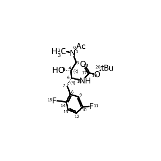 CC(=O)N(C)C[C@@H](O)[C@@H](Cc1cc(F)ccc1F)NC(=O)OC(C)(C)C